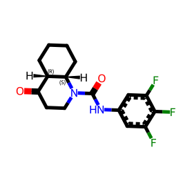 O=C1CCN(C(=O)Nc2cc(F)c(F)c(F)c2)[C@H]2CCCC[C@@H]12